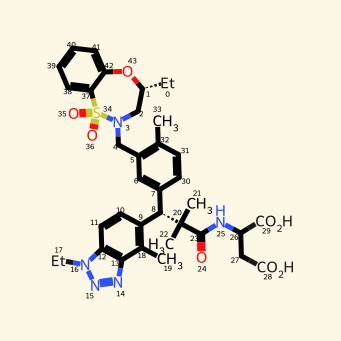 CC[C@@H]1CN(Cc2cc([C@@H](c3ccc4c(nnn4CC)c3C)C(C)(C)C(=O)NC(CC(=O)O)C(=O)O)ccc2C)S(=O)(=O)c2ccccc2O1